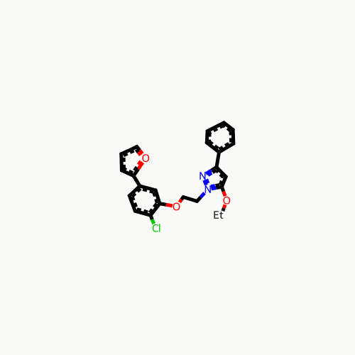 CCOc1cc(-c2ccccc2)nn1CCOc1cc(-c2ccco2)ccc1Cl